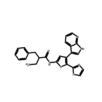 NCC(Cc1ccccc1)C(=O)Nc1cc(-c2c[nH]c3ncccc23)c(-c2ncco2)s1